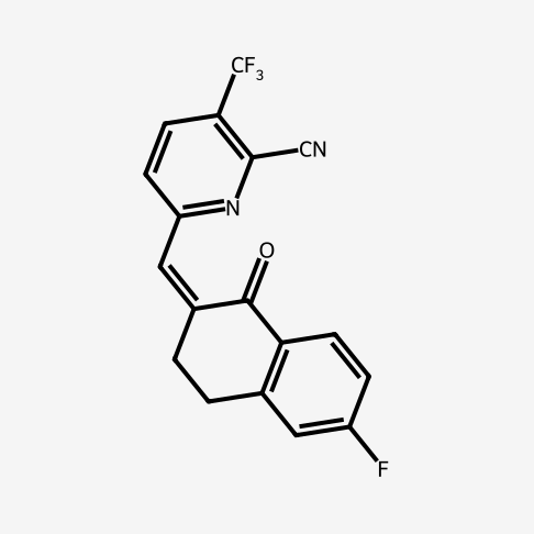 N#Cc1nc(C=C2CCc3cc(F)ccc3C2=O)ccc1C(F)(F)F